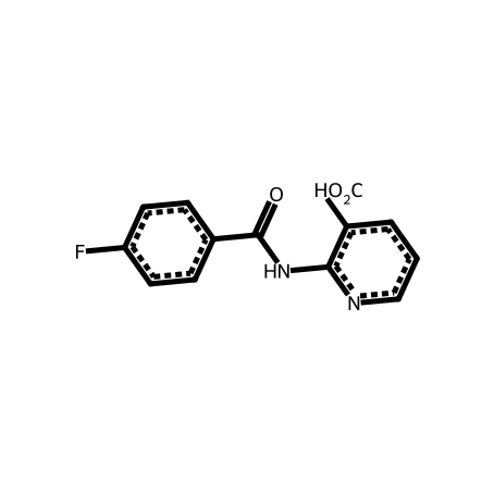 O=C(Nc1ncccc1C(=O)O)c1ccc(F)cc1